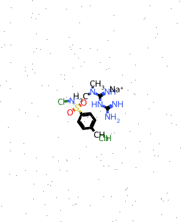 CN(C)C(=N)NC(=N)N.Cc1ccc(S(=O)(=O)[N-]Cl)cc1.Cl.[Na+]